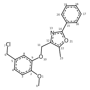 COc1ccc(CCl)cc1OCc1nc(-c2ccccc2)oc1C